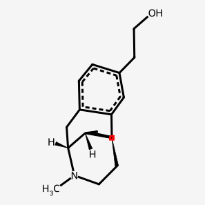 CN1CC[C@]23CCCC[C@H]2[C@H]1Cc1ccc(CCO)cc13